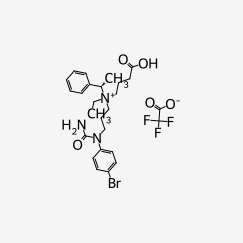 CC[N+](CCCC(=O)O)(CCCN(C(N)=O)c1ccc(Br)cc1)[C@H](C)c1ccccc1.O=C([O-])C(F)(F)F